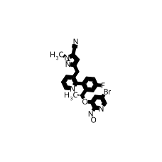 C[C@@H](Oc1cc(Br)cnc1N=O)c1cc(F)ccc1-c1ncccc1Cc1cc(C#N)n(C)n1